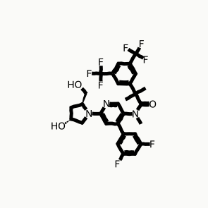 CN(C(=O)C(C)(C)c1cc(C(F)(F)F)cc(C(F)(F)F)c1)c1cnc(N2C[C@H](O)C[C@H]2CO)cc1-c1cc(F)cc(F)c1